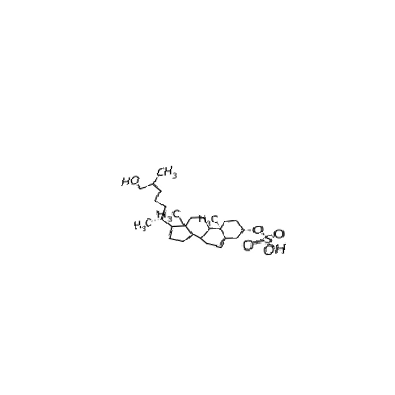 CC(CO)CCC[C@@H](C)C1CCC2C3CC=C4C[C@@H](OS(=O)(=O)O)CC[C@]4(C)C3CCC21C